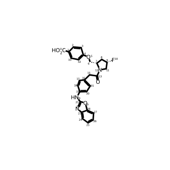 O=C(O)c1ccc(OC[C@@H]2C[C@H](F)CN2C(=O)Cc2ccc(Nc3nc4ccccc4o3)cc2)cc1